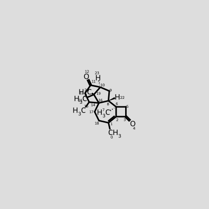 CC1=C2C(=O)C[C@]2(C)[C@H]2C[C@@H]3C(=O)CC(C)C2(CC1)C3(C)C